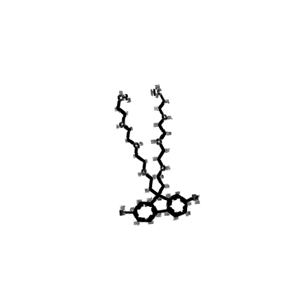 CCCOCCOCCOCCC1(CCOCCOCCOCCC)c2cc(Br)ccc2-c2ccc(Br)cc21